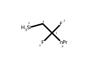 CCCC(F)(F)C[SiH3]